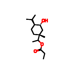 CCC(=O)OC(C)[C@]1(C)CC[C@@H](C(C)C)[C@H](O)C1